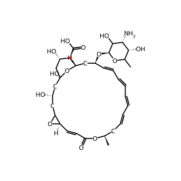 CC1O[C@@H](O[C@H]2/C=C/C=C/C=C/C=C/C[C@@H](C)OC(=O)/C=C/[C@H]3OC3C[C@H](O)C[C@]3(O)C[C@H](O)[C@@H](C(=O)O)[C@H](C2)O3)C(O)[C@H](N)[C@@H]1O